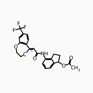 CC(=O)OC1CCc2c(NC(=O)/C=C3\CCCOc4cc(C(F)(F)F)ccc43)cccc21